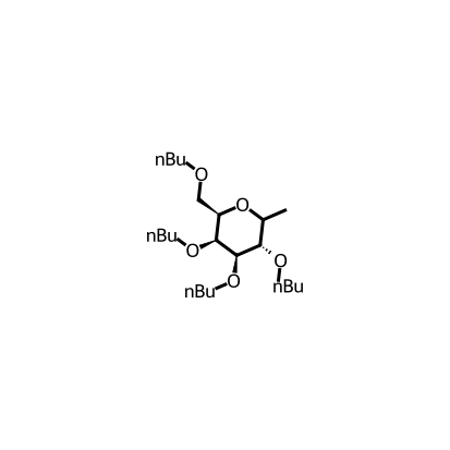 CCCCOC[C@H]1OC(C)[C@H](OCCCC)[C@@H](OCCCC)[C@H]1OCCCC